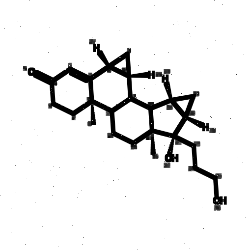 C[C@]12CCC(=O)C=C1[C@@H]1C[C@@H]1C1C2CC[C@@]2(C)C1[C@@H]1C[C@@H]1[C@@]2(O)CCCO